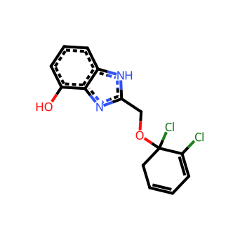 Oc1cccc2[nH]c(COC3(Cl)CC=CC=C3Cl)nc12